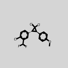 COc1ccc([C@H]2[C@H](c3ccc(Cl)c(C(F)F)c3)C2(Cl)Cl)cc1